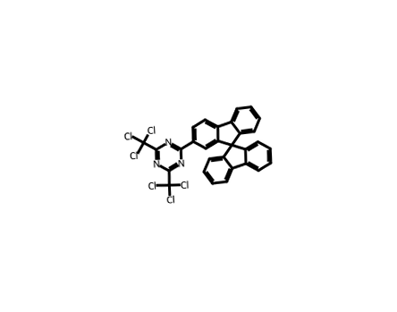 ClC(Cl)(Cl)c1nc(-c2ccc3c(c2)C2(c4ccccc4-c4ccccc42)c2ccccc2-3)nc(C(Cl)(Cl)Cl)n1